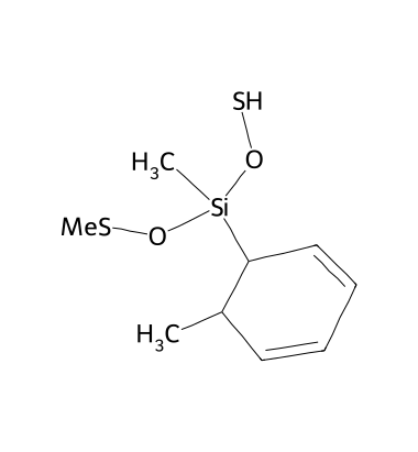 CSO[Si](C)(OS)C1C=CC=CC1C